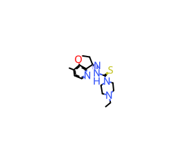 CCN1CCN(C(=S)N/N=C2/CCOc3c(C)ccnc32)CC1